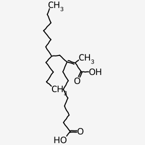 CCCCCCC(CCCC)CC(CCCCCCCC(=O)O)=C(C)C(=O)O